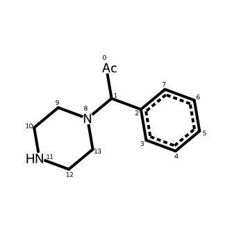 CC(=O)C(c1ccccc1)N1CCNCC1